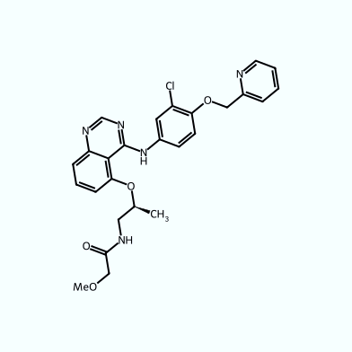 COCC(=O)NC[C@H](C)Oc1cccc2ncnc(Nc3ccc(OCc4ccccn4)c(Cl)c3)c12